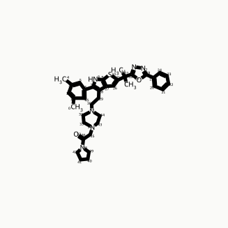 Cc1cc(C)cc(-c2[nH]c3sc(C(C)(C)c4nnc(-c5ccccc5)o4)cc3c2CCN2CCN(CC(=O)N3CCCC3)CC2)c1